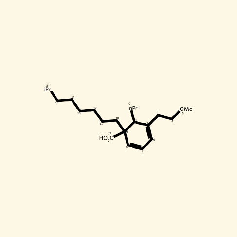 CCCC1C(CCOC)=CC=CC1(CCCCCCC(C)C)C(=O)O